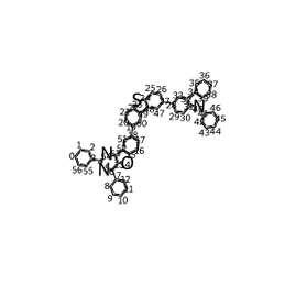 c1ccc(-c2nc(-c3ccccc3)c3oc4ccc(-c5ccc6sc7ccc(-c8ccc9c(c8)c8ccccc8n9-c8ccccc8)cc7c6c5)cc4c3n2)cc1